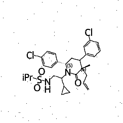 C=CC[C@]1(C)C(=O)N(C(CNS(=O)(=O)C(C)C)C2CC2)[C@H](c2ccc(Cl)cc2)CC1c1cccc(Cl)c1